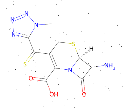 Cn1nnnc1C(=S)C1=C(C(=O)O)N2C(=O)C(N)[C@@H]2SC1